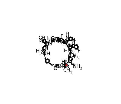 COc1ccc(C[C@@H]2NC(=O)[C@H]([C@@H](C)O)NC(=O)[C@@H]3C[C@H](F)CN3C(=O)[C@H](Cc3c[nH]c4ccc(F)cc34)NC(=O)[C@H](Cc3c[nH]c4ccc(F)cc34)NC(=O)[C@@H](C)NC(=O)[C@H](CCCCN)NC(=O)[C@@H](NC(C)=O)CCCC(=O)NCc3ccc(cc3)CCNC(=O)[C@]3(C)CCCN3C2=O)cc1